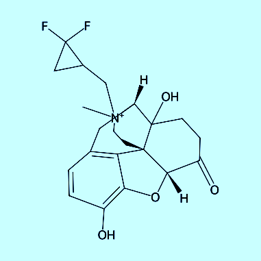 C[N+]1(CC2CC2(F)F)CC[C@]23c4c5ccc(O)c4O[C@H]2C(=O)CCC3(O)[C@H]1C5